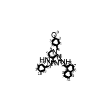 COc1ccc(CN2CCC3NN(Cc4ccccc4)c4nc(NCc5cccc6ccccc56)nc2c43)cc1